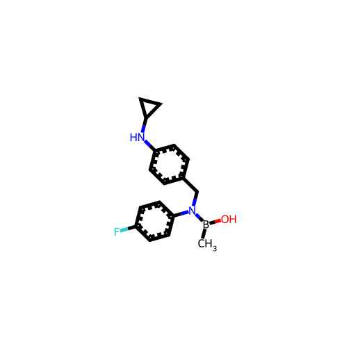 CB(O)N(Cc1ccc(NC2CC2)cc1)c1ccc(F)cc1